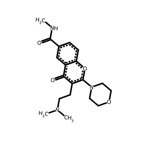 CNC(=O)c1ccc2oc(N3CCOCC3)c(CCN(C)C)c(=O)c2c1